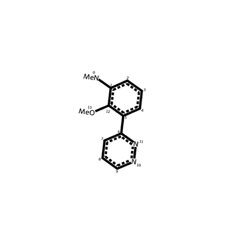 CNc1cccc(-c2cccnn2)c1OC